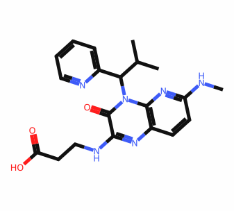 CNc1ccc2nc(NCCC(=O)O)c(=O)n(C(c3ccccn3)C(C)C)c2n1